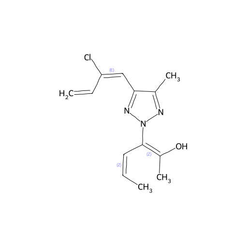 C=C/C(Cl)=C\c1nn(C(/C=C\C)=C(/C)O)nc1C